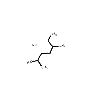 CC(C)CCC(C)CN.Cl